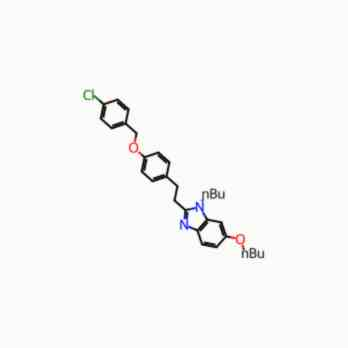 CCCCOc1ccc2nc(CCc3ccc(OCc4ccc(Cl)cc4)cc3)n(CCCC)c2c1